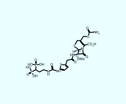 CO[C@@]1(NC(=O)Cc2ccc(NC(=O)NCCC(P(=O)(O)O)P(=O)(O)O)s2)C(=O)N2C(C(=O)O)=C(COC(N)=O)CS[C@H]21